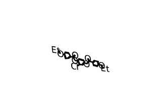 CCOc1ccc(C(=O)Oc2ccc(OC(=O)c3ccc(OCC)cc3)c(Cl)c2)cc1